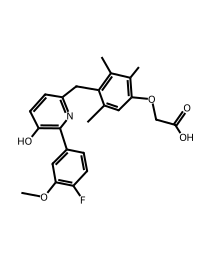 COc1cc(-c2nc(Cc3c(C)cc(OCC(=O)O)c(C)c3C)ccc2O)ccc1F